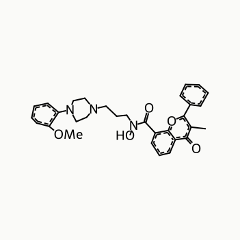 COc1ccccc1N1CCN(CCCN(O)C(=O)c2cccc3c(=O)c(C)c(-c4ccccc4)oc23)CC1